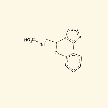 O=C(O)NCC1Oc2ccccc2-c2sccc21